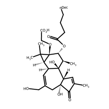 CCCCCCCCCCCCCC(=O)O[C@@H]1[C@@H](C)[C@@]2(O)[C@@H](C=C(CO)C[C@]3(O)C(=O)C(C)=C[C@@H]23)[C@H]2C(C)(C)[C@]12OCC(=O)O